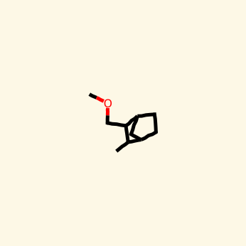 COCC1C2CCC(C2)C1C